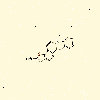 CCCc1cc2ccc3c4cc5ccccc5cc4ccc3c2s1